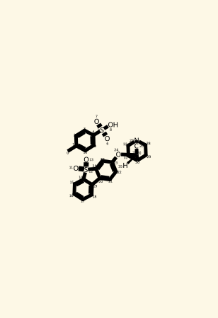 Cc1ccc(S(=O)(=O)O)cc1.O=S1(=O)c2ccccc2-c2ccc(O[C@@H]3CN4CCC3CC4)cc21